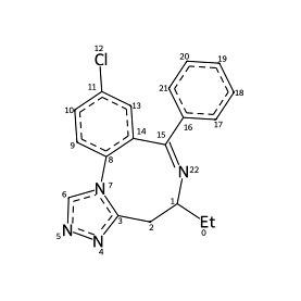 CCC1Cc2nncn2-c2ccc(Cl)cc2C(c2ccccc2)=N1